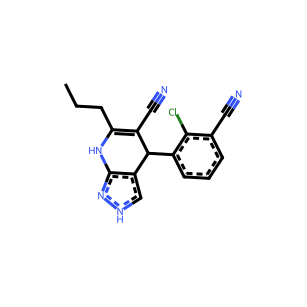 CCCC1=C(C#N)C(c2cccc(C#N)c2Cl)c2c[nH]nc2N1